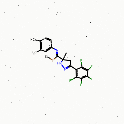 CCSC(=Nc1ccc(C#N)c(C(F)(F)F)c1)C1(C)CC(c2c(F)c(F)c(F)c(F)c2F)=NN1